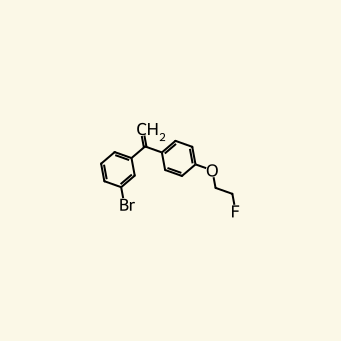 C=C(c1ccc(OCCF)cc1)c1cccc(Br)c1